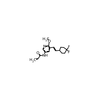 C=CC(=O)Nc1cnc(OC)c(C=CC2CCC(F)(F)CC2)c1